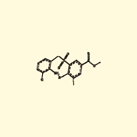 COC(=O)c1cc(C)c(Br)c(S(=O)(=O)Cc2cccc(Cl)c2N)c1